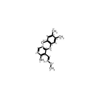 CON=Cc1c(N)ncnc1Oc1cc(C)c(C)cc1Cl